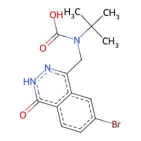 CC(C)(C)N(Cc1n[nH]c(=O)c2ccc(Br)cc12)C(=O)O